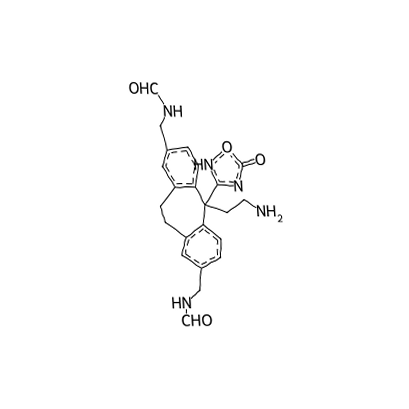 NCCC1(c2nc(=O)o[nH]2)c2ccc(CNC=O)cc2CCc2cc(CNC=O)ccc21